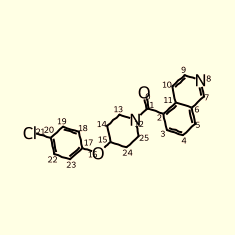 O=C(c1cccc2cnccc12)N1CCC(Oc2ccc(Cl)cc2)CC1